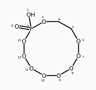 O=P1(O)OCCOOOOOOOO1